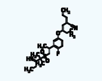 C=C/C=C(C#N)\C=C(/CC)Oc1ccc(F)c(C(C)CS(=O)(=O)C(C)(C)C(=N)CC)c1